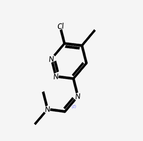 Cc1cc(/N=C\N(C)C)nnc1Cl